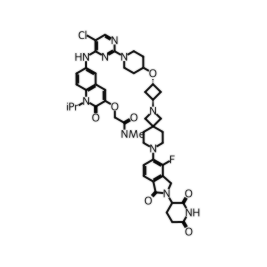 CNC(=O)COc1cc2cc(Nc3nc(N4CCC(O[C@H]5C[C@H](N6CC7(CCN(c8ccc9c(c8F)CN(C8CCC(=O)NC8=O)C9=O)CC7)C6)C5)CC4)ncc3Cl)ccc2n(C(C)C)c1=O